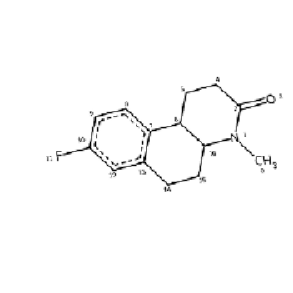 CN1C(=O)CCC2c3ccc(F)cc3CCC21